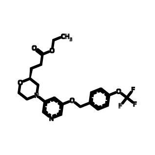 CCOC(=O)CC[C@H]1CN(c2cncc(OCc3ccc(OC(F)(F)F)cc3)c2)CCO1